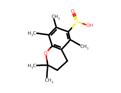 Cc1c(C)c(S(=O)O)c(C)c2c1OC(C)(C)CC2